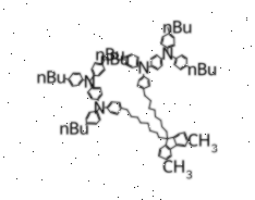 CCCCc1ccc(N(c2ccc(CCCC)cc2)c2ccc(N(c3ccc(CCCC)cc3)c3ccc(CCCCCCCCC4(CCCCCCCCc5ccc(N(c6ccc(CCCC)cc6)c6ccc(N(c7ccc(CCCC)cc7)c7ccc(CCCC)cc7)cc6)cc5)c5ccc(C)cc5-c5cc(C)ccc54)cc3)cc2)cc1